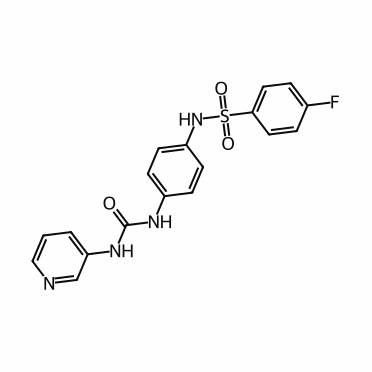 O=C(Nc1ccc(NS(=O)(=O)c2ccc(F)cc2)cc1)Nc1cccnc1